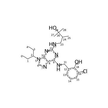 CCC(CC)n1cnc2c(NCc3cccc(Cl)c3O)nc(NCC(C)C(C)(C)O)nc21